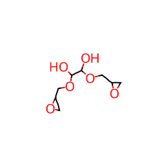 OC(OCC1CO1)C(O)OCC1CO1